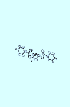 CCCC(C)(CCOC(=O)c1ccccc1)OC(=O)c1ccccc1